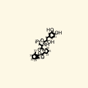 CC(C)CC(NC(=O)C(O)Cc1ccc(O)c(O)c1)C(=O)N1CCCC1C(=O)OC1CC2CCC1(C)C2(C)C